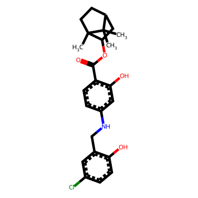 CC1(C)C2CCC1(C)C(OC(=O)c1ccc(NCc3cc(Cl)ccc3O)cc1O)C2